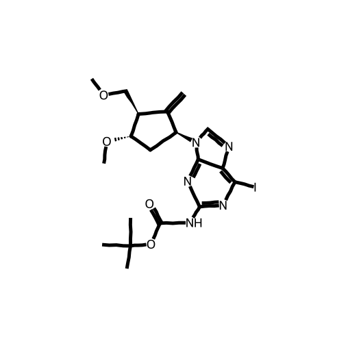 C=C1[C@H](COC)[C@@H](OC)C[C@@H]1n1cnc2c(I)nc(NC(=O)OC(C)(C)C)nc21